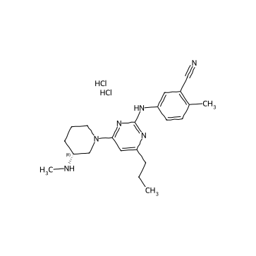 CCCc1cc(N2CCC[C@@H](NC)C2)nc(Nc2ccc(C)c(C#N)c2)n1.Cl.Cl